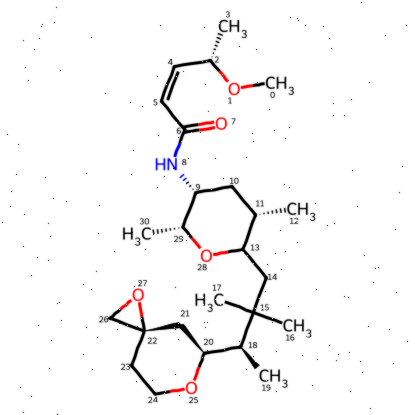 CO[C@@H](C)/C=C\C(=O)N[C@@H]1C[C@H](C)C(CC(C)(C)[C@@H](C)[C@@H]2C[C@@]3(CCO2)CO3)O[C@@H]1C